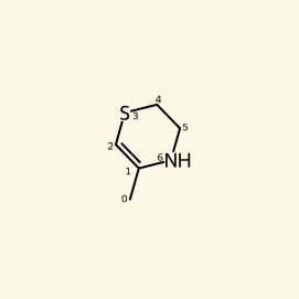 CC1=CSCCN1